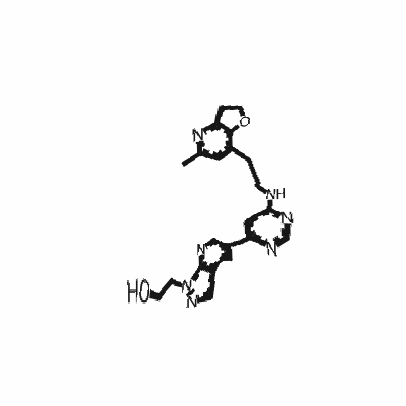 Cc1cc(CCNc2cc(-c3cnc4c(cnn4CCO)c3)ncn2)c2c(n1)CCO2